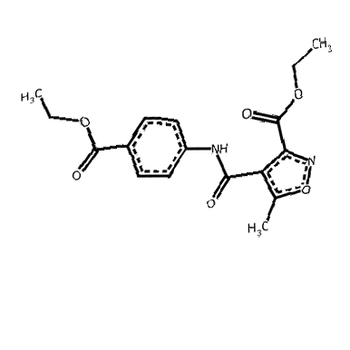 CCOC(=O)c1ccc(NC(=O)c2c(C(=O)OCC)noc2C)cc1